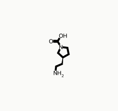 NCC[C@@H]1CCN(C(=O)O)C1